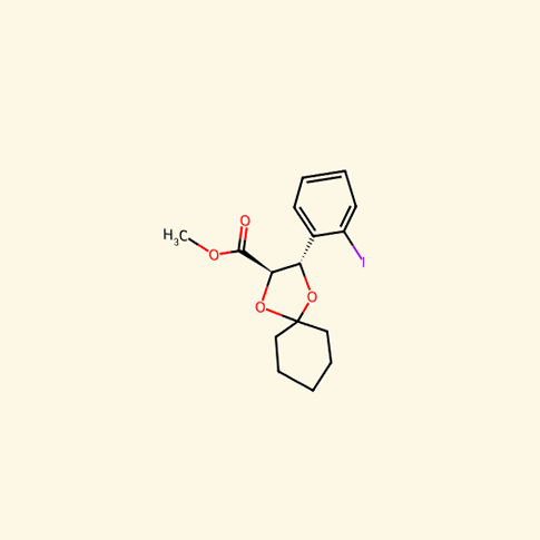 COC(=O)[C@@H]1OC2(CCCCC2)O[C@H]1c1ccccc1I